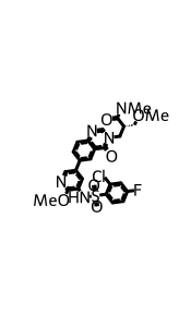 CNC(=O)[C@H](COC)Cn1cnc2ccc(-c3cnc(OC)c(NS(=O)(=O)c4ccc(F)cc4Cl)c3)cc2c1=O